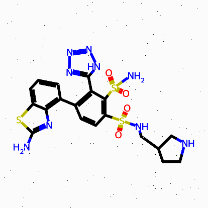 Nc1nc2c(-c3ccc(S(=O)(=O)NCC4CCNC4)c(S(N)(=O)=O)c3-c3nnn[nH]3)cccc2s1